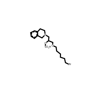 CC(C)CCCCCCOCC(CN1CCc2ccccc2C1)OS(=O)(=O)O